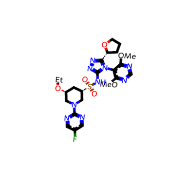 CCO[C@@H]1C[C@H](S(=O)(=O)Nc2nnc([C@H]3CCCO3)n2-c2c(OC)ncnc2OC)CN(c2ncc(F)cn2)C1